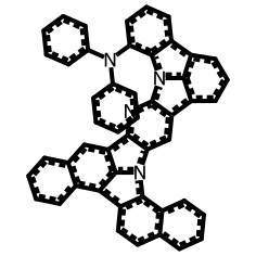 c1ccc(N(c2ccccc2)c2cccc3c4cccc5c6cc7c(nc6n(c23)c54)c2cc3ccccc3c3c4ccc5ccccc5c4n7c23)cc1